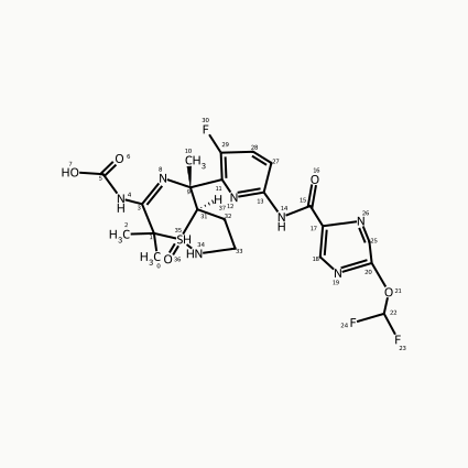 CC1(C)C(NC(=O)O)=N[C@](C)(c2nc(NC(=O)c3cnc(OC(F)F)cn3)ccc2F)[C@H]2CCN[SH]21=O